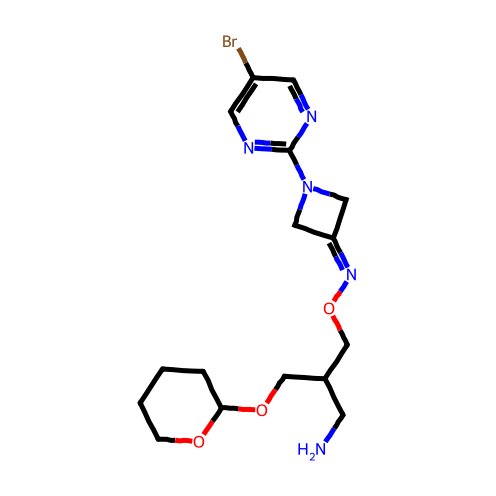 NCC(CON=C1CN(c2ncc(Br)cn2)C1)COC1CCCCO1